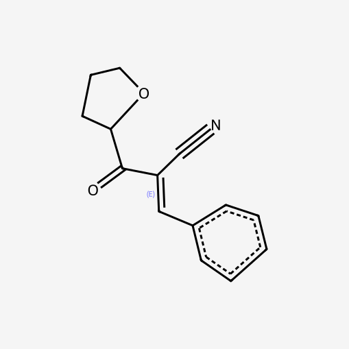 N#C/C(=C\c1ccccc1)C(=O)C1CCCO1